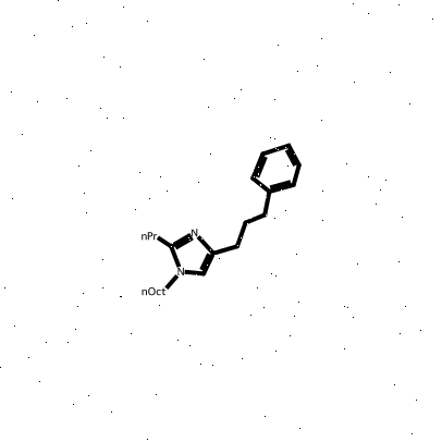 CCCCCCCCn1cc(CCCc2ccccc2)nc1CCC